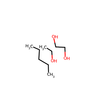 CCCCC.CCO.OCCO